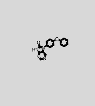 O=c1[nH]c2ncncc2n1-c1ccc(Oc2ccccc2)cc1